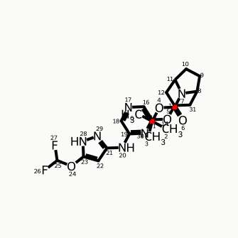 CC(C)(C)OC(=O)N1C2CCC1CC(Oc1cncc(Nc3cc(OC(F)F)[nH]n3)n1)C2